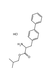 CC(C)COC(=O)C(N)Cc1ccc(-c2ccccc2)cc1.Cl